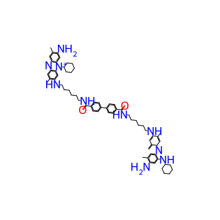 C=C1C=C(NCCCCCCNC(=O)c2ccc(-c3ccc(C(=O)NCCCCCCNc4cc5c(cc4C)nc4cc(C)c(N)cc4[n+]5C4CCCCC4)cc3)cc2)C(C)=C/C1=N/c1cc(C)c(N)cc1NC1CCCCC1